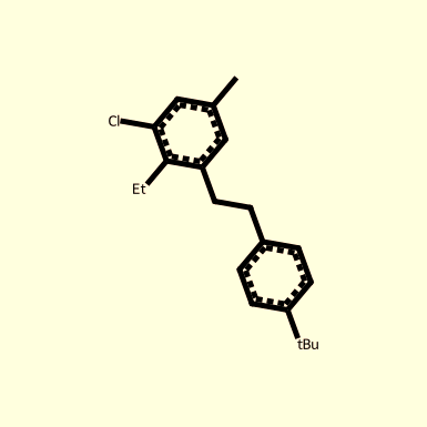 CCc1c(Cl)cc(C)cc1CCc1ccc(C(C)(C)C)cc1